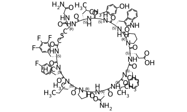 CCCC[C@H]1C(=O)N2CCC[C@@H]2C(=O)N[C@@H](CC(N)=O)C(=O)N[C@@H](C(C)C)C(=O)N(C)[C@@H](Cc2ccccc2)C(=O)N[C@@H](CCC(=O)O)C(=O)N2CCCC[C@@H]2C(=O)N[C@@H](Cc2c[nH]c3ccccc23)C(=O)N[C@@H](Cc2ccc(O)cc2)C(=O)N[C@@H](CC(C)C)C(=O)N[C@H](C(=O)NCC(N)=O)CSCC(=O)N[C@@H](Cc2cc(F)c(F)c(F)c2)C(=O)N(C)[C@@H](Cc2ccc(F)cc2)C(=O)N1C